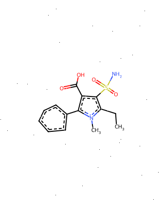 CCc1c(S(N)(=O)=O)c(C(=O)O)c(-c2ccccc2)n1C